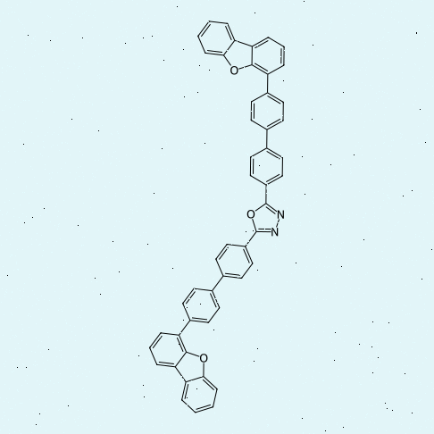 c1ccc2c(c1)oc1c(-c3ccc(-c4ccc(-c5nnc(-c6ccc(-c7ccc(-c8cccc9c8oc8ccccc89)cc7)cc6)o5)cc4)cc3)cccc12